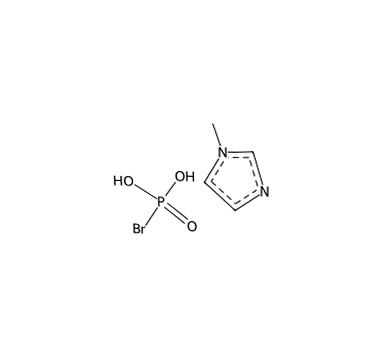 Cn1ccnc1.O=P(O)(O)Br